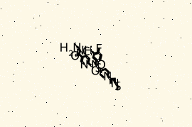 CSN1CC(N2CCC(S(=O)(=O)N(Cc3ccc(C(=O)NN)cn3)c3ccc(F)c(Cl)c3)CC2)C1